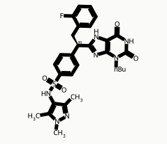 CCCCn1c(=O)[nH]c(=O)c2[nH]c([C@H](Cc3ccccc3F)c3ccc(S(=O)(=O)Nc4c(C)nn(C)c4C)cc3)nc21